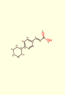 O=C(O)C=Cc1ccc(C2CCCCC2)cc1